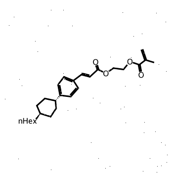 C=C(C)C(=O)OCCOC(=O)/C=C/c1ccc([C@H]2CC[C@H](CCCCCC)CC2)cc1